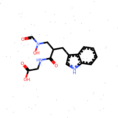 O=CN(O)CC(Cc1c[nH]c2ccccc12)C(=O)NCC(=O)O